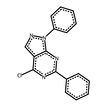 Clc1nc(-c2ccccc2)nc2c1cnn2-c1ccccc1